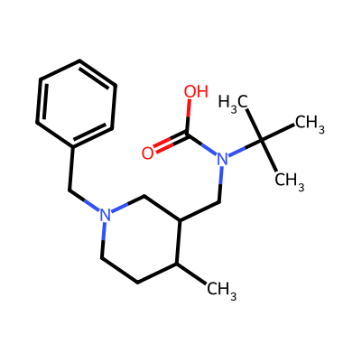 CC1CCN(Cc2ccccc2)CC1CN(C(=O)O)C(C)(C)C